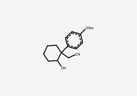 COc1ccc(C2(CC#N)CCCCC2O)cc1